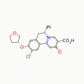 CC(C)C1Cc2cc(O[C@@H]3CCOC3)c(Cl)cc2-c2cc(=O)c(C(=O)O)cn21